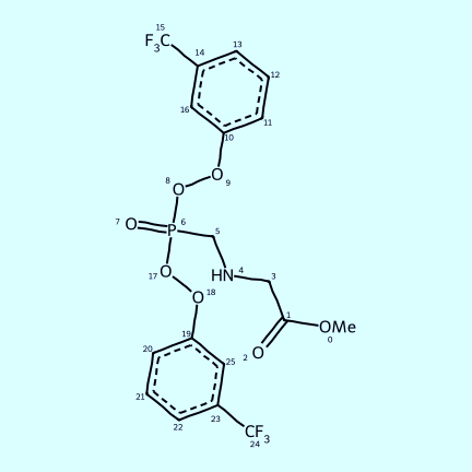 COC(=O)CNCP(=O)(OOc1cccc(C(F)(F)F)c1)OOc1cccc(C(F)(F)F)c1